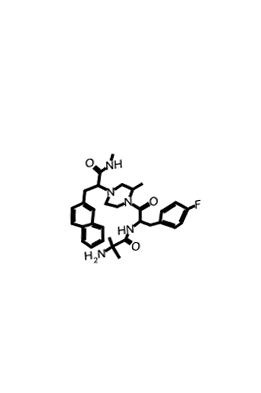 CNC(=O)C(Cc1ccc2ccccc2c1)N1CCN(C(=O)C(Cc2ccc(F)cc2)NC(=O)C(C)(C)N)C(C)C1